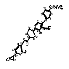 COc1ccc(-c2ccc(C3CCC(CCc4ccc(C5CO5)cc4F)CC3)c(F)c2F)cc1